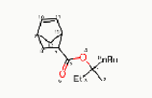 CCCCC(C)(CC)OC(=O)C1CC2C=CC1C2